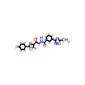 Cc1nc(-c2cccc(C(=O)NCC(=O)c3coc(-c4ccc(F)cc4)n3)c2)no1